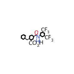 O=C(Nc1cc(C(F)(F)F)cc(C(F)(F)F)c1)c1ccc(Cc2ccccc2)c(C(=O)O)c1